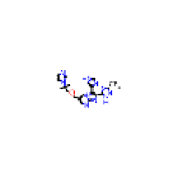 CC(C)(COCc1cnc2nc(-c3nc(C(F)(F)F)n[nH]3)c(-c3c[nH]cn3)n2c1)n1ccnc1